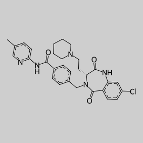 Cc1ccc(NC(=O)c2ccc(CN3C(=O)c4ccc(Cl)cc4NC(=O)[C@H]3CCN3CCCCC3)cc2)nc1